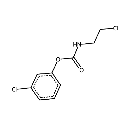 O=C(NCCCl)Oc1cccc(Cl)c1